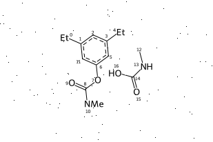 CCc1cc(CC)cc(OC(=O)NC)c1.CNC(=O)O